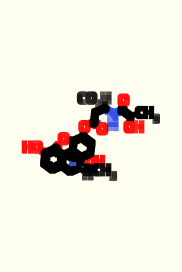 C[C@H](O)C(=O)N[C@@H](CC(=O)OC1=CC[C@@]2(O)[C@H]3Cc4ccc(O)c5c4C2(CCN3C)C1O5)C(=O)O